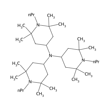 CCCN1C(C)(C)CC(N(C2CC(C)(C)N(CCC)C(C)(C)C2)C2CC(C)(C)N(CCC)C(C)(C)C2)CC1(C)C